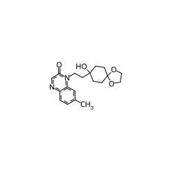 Cc1ccc2ncc(=O)n(CCC3(O)CCC4(CC3)OCCO4)c2c1